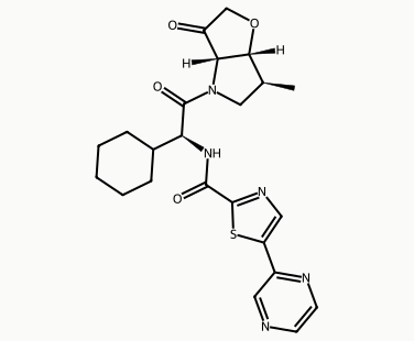 C[C@H]1CN(C(=O)[C@@H](NC(=O)c2ncc(-c3cnccn3)s2)C2CCCCC2)[C@@H]2C(=O)CO[C@@H]21